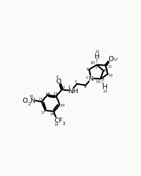 O=C(NCCN1C[C@@H]2C[C@H]1CC2=O)c1cc([N+](=O)[O-])cc(C(F)(F)F)c1